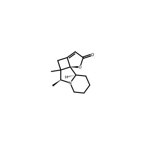 C[C@@H]1N2CCCC[C@@H]2[C@@]23OC(=O)C=C2CC13C